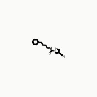 N#Cc1cnn(C(=O)NCCCCc2ccccc2)c1